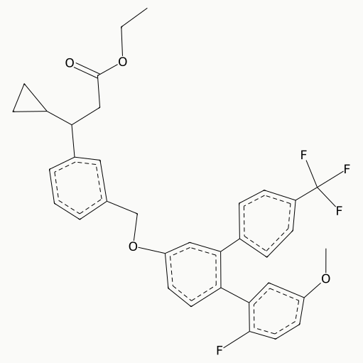 CCOC(=O)CC(c1cccc(COc2ccc(-c3cc(OC)ccc3F)c(-c3ccc(C(F)(F)F)cc3)c2)c1)C1CC1